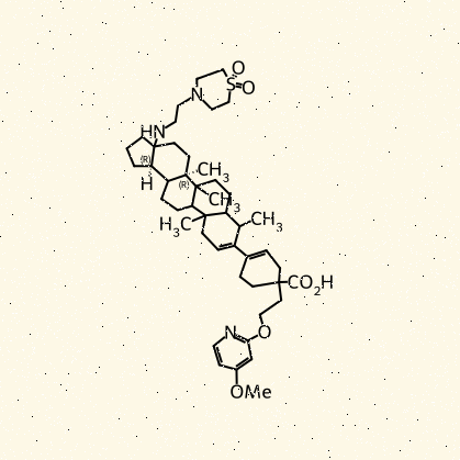 COc1ccnc(OCCC2(C(=O)O)CC=C(C3=CCC4(C)C(CCC5(C)C4CCC4[C@H]6CCCC6(NCCN6CCS(=O)(=O)CC6)CC[C@]45C)C3C)CC2)c1